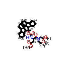 CCOC(CN(CCC(C)C)C(=O)C(CC(=O)OC(C)(C)C)NC(=O)OC(C)(C1c2ccccc2-c2ccccc21)C1c2ccccc2-c2ccccc21)OCC